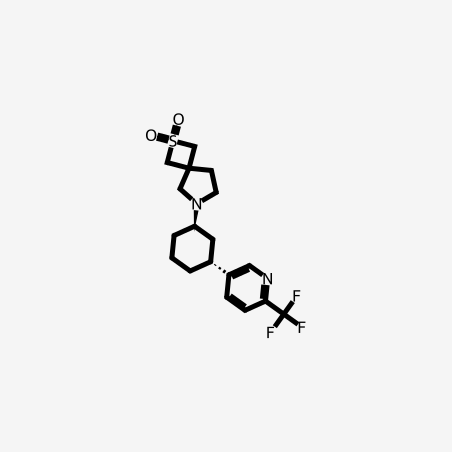 O=S1(=O)CC2(CCN([C@@H]3CCC[C@@H](c4ccc(C(F)(F)F)nc4)C3)C2)C1